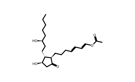 CCCCC[C@H](O)CC[C@H]1[C@H](O)CC(=O)[C@@H]1CCC/C=C/C=C/OC(C)=O